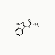 NC(=O)[N]c1n[nH]c2ccccc12